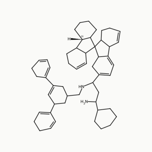 NC(CC(NCC1CC(C2=CC=CCC2)=CC(C2=CCCC=C2)C1)C1=CC=C2C3C=CCCC3C3(C2C1)C1C=CCCC1[C@@H]1CCCCC13)C1CCCCC1